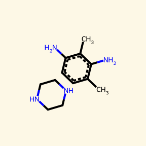 C1CNCCN1.Cc1ccc(N)c(C)c1N